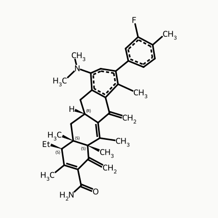 C=C1C2=C(C)[C@]3(C)C(=C)C(C(N)=O)=C(C)[C@@H](CC)[C@]3(C)C[C@@H]2Cc2c(N(C)C)cc(-c3ccc(C)c(F)c3)c(C)c21